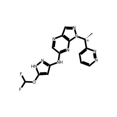 C[C@H](c1cccnn1)n1ncc2ncc(Nc3cc(OC(F)F)[nH]n3)nc21